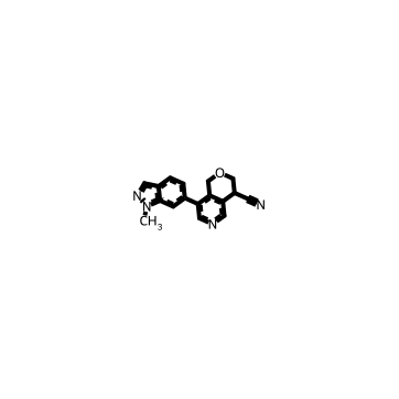 Cn1ncc2ccc(-c3cncc4c3COCC4C#N)cc21